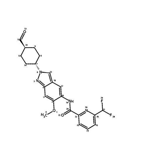 COc1cc2nn([C@H]3CC[C@H](C=O)CC3)cc2cc1NC(=O)c1cccc(C(F)F)n1